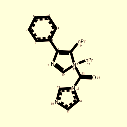 CCCC1=C(c2ccccc2)N=C[N+]1(CCC)C(=O)n1ccnc1